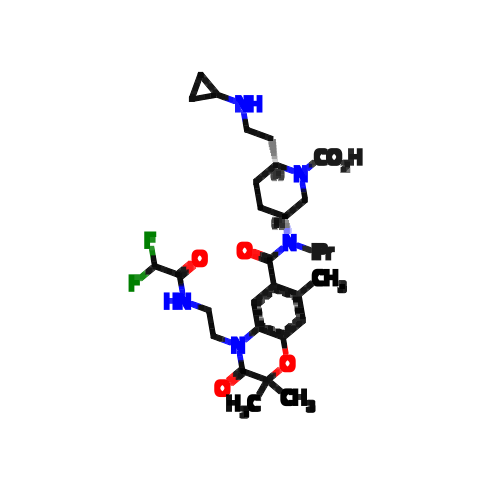 Cc1cc2c(cc1C(=O)N(C(C)C)[C@@H]1CC[C@H](CCNC3CC3)N(C(=O)O)C1)N(CCNC(=O)C(F)F)C(=O)C(C)(C)O2